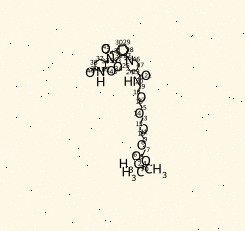 CC(C)(C)OC(=O)COCCOCCOCCOCCNC(=O)C1CCN(c2cccc3c2C(=O)N(C2CCC(=O)NC2=O)C3=O)CC1